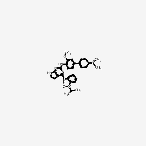 COc1cc(C2=CCC(N(C)C)CC2)ccc1Nc1nc2c(c(Nc3ccccc3[S+]([O-])C(C)C)n1)CCN2